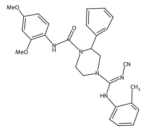 COc1ccc(NC(=O)N2CCN(/C(=N\C#N)Nc3ccccc3C)CC2c2ccccc2)c(OC)c1